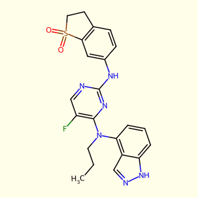 CCCN(c1nc(Nc2ccc3c(c2)S(=O)(=O)CC3)ncc1F)c1cccc2[nH]ncc12